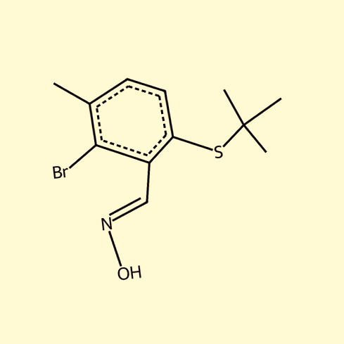 Cc1ccc(SC(C)(C)C)c(C=NO)c1Br